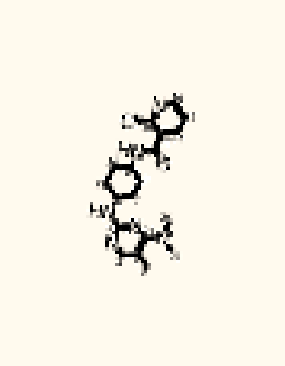 Cc1cnc(N[C@H]2CC[C@@H](NC(=O)c3cccnc3Cl)CC2)nc1N(C)C